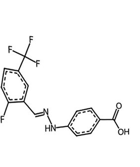 O=C(O)c1ccc(NN=Cc2cc(C(F)(F)F)ccc2F)cc1